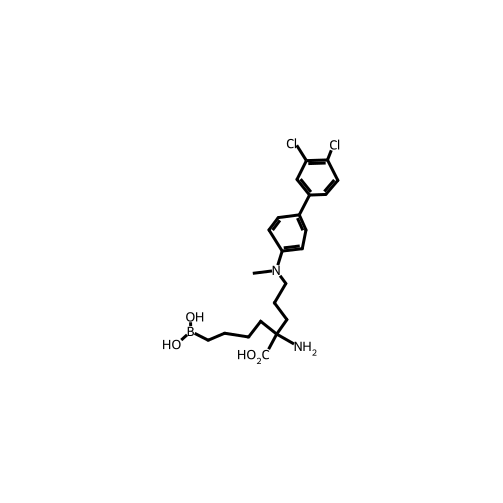 CN(CCCC(N)(CCCCB(O)O)C(=O)O)c1ccc(-c2ccc(Cl)c(Cl)c2)cc1